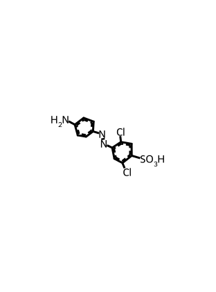 Nc1ccc(N=Nc2cc(Cl)c(S(=O)(=O)O)cc2Cl)cc1